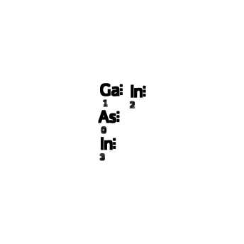 [As].[Ga].[In].[In]